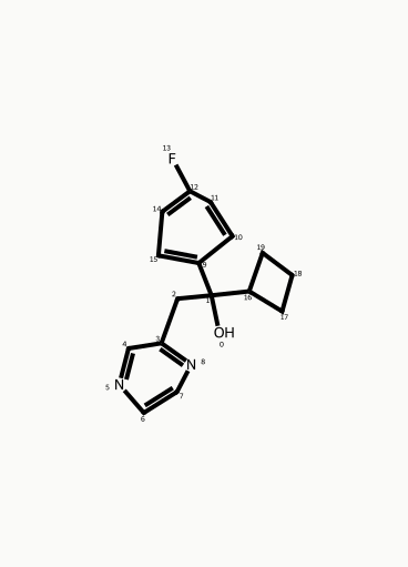 OC(Cc1cnccn1)(c1ccc(F)cc1)C1CCC1